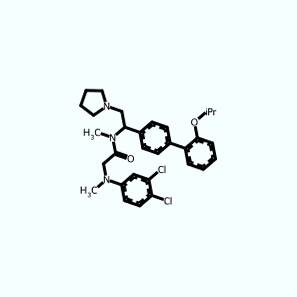 CC(C)Oc1ccccc1-c1ccc(C(CN2CCCC2)N(C)C(=O)CN(C)c2ccc(Cl)c(Cl)c2)cc1